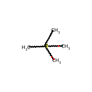 CCCCCCCCCCCCCCCC1=CS(CCCCCCCCCCCCCCC)=C(CCCCCCCCCCCCCCC)C(CCCCCCCCCCCCCCC)=C1